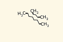 C=CCC=C.C=CCCCCC=C